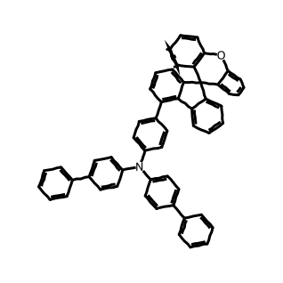 c1ccc(-c2ccc(N(c3ccc(-c4ccccc4)cc3)c3ccc(-c4cccc5c4-c4ccccc4C54c5ccccc5Oc5ccc6ccccc6c54)cc3)cc2)cc1